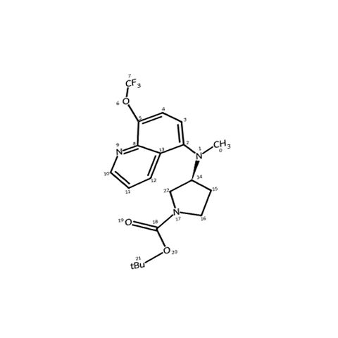 CN(c1ccc(OC(F)(F)F)c2ncccc12)[C@H]1CCN(C(=O)OC(C)(C)C)C1